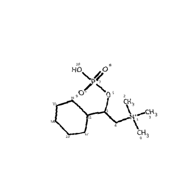 C[N+](C)(C)CC(OP(=O)([O-])O)C1CCCCC1